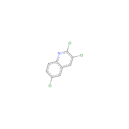 Clc1ccc2nc(Cl)c(Cl)cc2c1